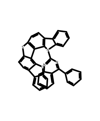 c1ccc(-c2nc(-n3c4ccccc4c4ccc5sc6ccc7c8ccccc8oc7c6c5c43)nc3ccccc23)cc1